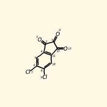 O=c1c(=O)c2cc(Cl)c(Cl)cc2c1=O